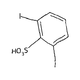 O=S(=O)(O)c1c(I)cccc1I